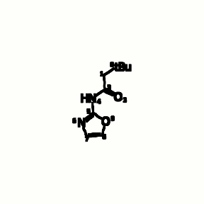 CC(C)(C)CC(=O)Nc1ncco1